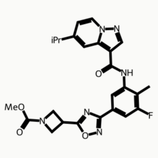 COC(=O)N1CC(c2nc(-c3cc(F)c(C)c(NC(=O)c4cnn5ccc(C(C)C)cc45)c3)no2)C1